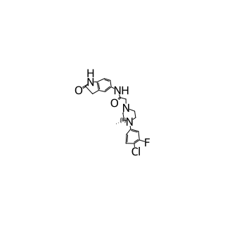 C[C@@H]1CN(CC(=O)Nc2ccc3c(c2)CC(=O)N3)CCN1c1ccc(Cl)c(F)c1